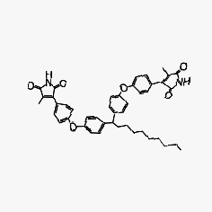 CCCCCCCCCC(c1ccc(Oc2ccc(C3=C(C)C(=O)NC3=O)cc2)cc1)c1ccc(Oc2ccc(C3=C(C)C(=O)NC3=O)cc2)cc1